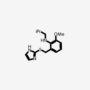 COc1cccc(CSc2ncc[nH]2)c1NCC(C)C